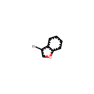 CCc1coc2[c]cccc12